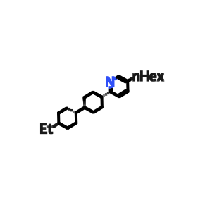 CCCCCCc1ccc([C@H]2CC[C@H]([C@H]3CC[C@H](CC)CC3)CC2)nc1